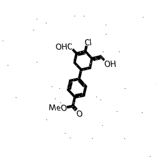 COC(=O)c1ccc(C2CC(=CO)C(Cl)=C(C=O)C2)cc1